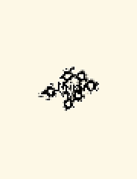 Cc1ccc(-c2nc(-c3ccc(C)cc3)nc(-n3c4ccccc4c4ccc5c(nc6c7ccccc7c7ccccc7n56)c43)n2)cc1